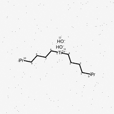 CC(C)CCC[CH2][Ti+2][CH2]CCCC(C)C.[OH-].[OH-]